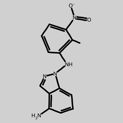 Cc1c(Nn2ncc3c(N)cccc32)cccc1[N+](=O)[O-]